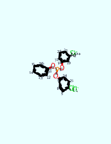 [Al+3].[Cl-].[Cl-].[Cl-].c1ccc(OP(Oc2ccccc2)Oc2ccccc2)cc1